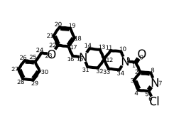 O=C(c1ccc(Cl)nc1)N1CCC2(CCN(Cc3ccccc3OCc3ccccc3)CC2)CC1